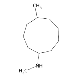 CNC1CCCCC(C)CCC1